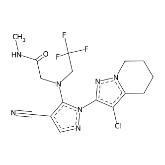 CNC(=O)CN(CC(F)(F)F)c1c(C#N)cnn1-c1nn2c(c1Cl)CCCC2